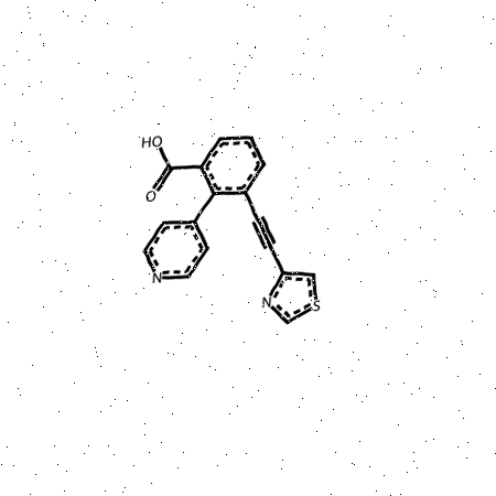 O=C(O)c1cccc(C#Cc2cscn2)c1-c1ccncc1